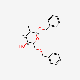 CC1[C@H](OCc2ccccc2)OC(COCc2ccccc2)[C@@H](O)[C@@H]1C